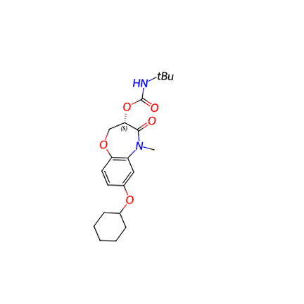 CN1C(=O)[C@@H](OC(=O)NC(C)(C)C)COc2ccc(OC3CCCCC3)cc21